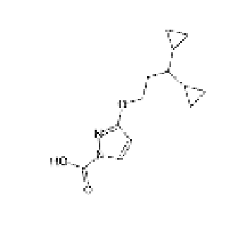 O=C(O)n1ccc(OCCC(C2CC2)C2CC2)n1